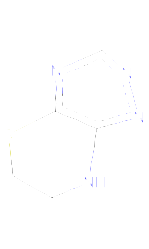 c1nnc2c(n1)SCCN2